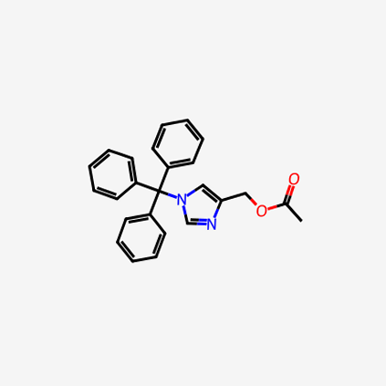 CC(=O)OCc1cn(C(c2ccccc2)(c2ccccc2)c2ccccc2)cn1